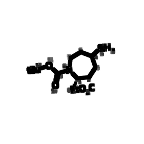 CCOC(=O)[C@H]1CCC([SiH3])CCN1C(=O)OC(C)(C)C